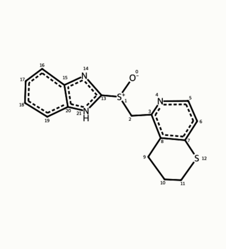 [O-][S+](Cc1nccc2c1CCCS2)c1nc2ccccc2[nH]1